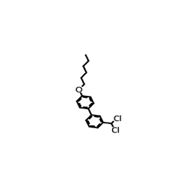 CCCCCCOc1ccc(-c2cccc(C(Cl)Cl)c2)cc1